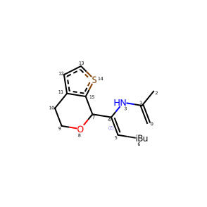 C=C(C)N/C(=C\C(C)CC)C1OCCc2ccsc21